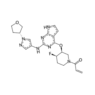 C=CC(=O)N1CC[C@@H](F)[C@@H](Oc2nc(Nc3cnn([C@@H]4CCOC4)c3)nc3[nH]ccc23)C1